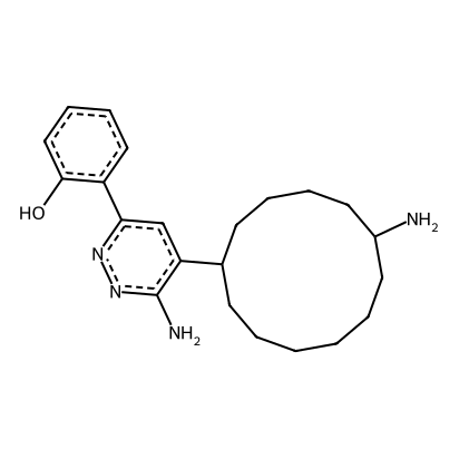 Nc1nnc(-c2ccccc2O)cc1C1CCCCCCC(N)CCCC1